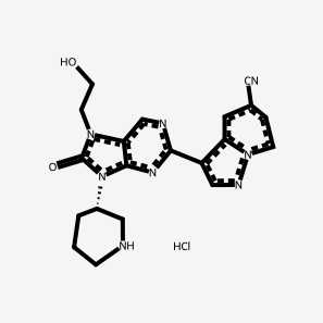 Cl.N#Cc1ccn2ncc(-c3ncc4c(n3)n([C@H]3CCCNC3)c(=O)n4CCO)c2c1